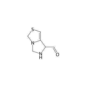 O=CC1NCN2CSC=C12